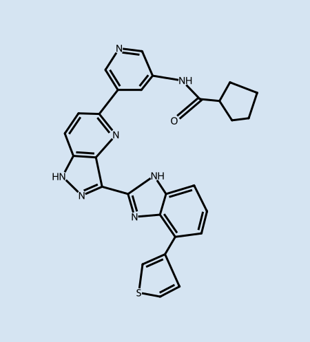 O=C(Nc1cncc(-c2ccc3[nH]nc(-c4nc5c(-c6ccsc6)cccc5[nH]4)c3n2)c1)C1CCCC1